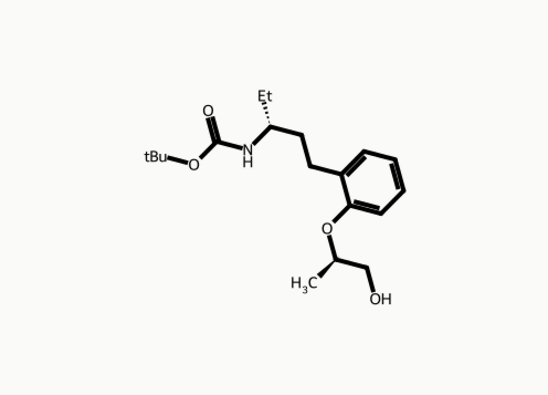 CC[C@H](CCc1ccccc1O[C@H](C)CO)NC(=O)OC(C)(C)C